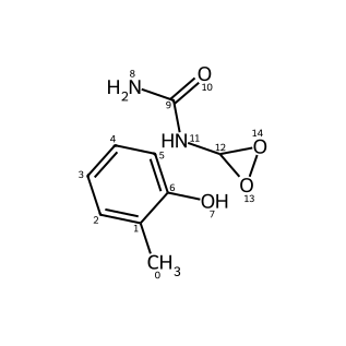 Cc1ccccc1O.NC(=O)NC1OO1